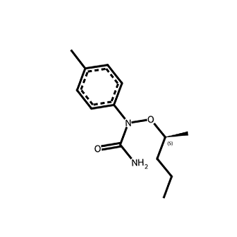 CCC[C@H](C)ON(C(N)=O)c1ccc(C)cc1